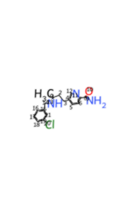 CC(CCc1ccc(C(N)=O)nc1)NCc1cccc(Cl)c1